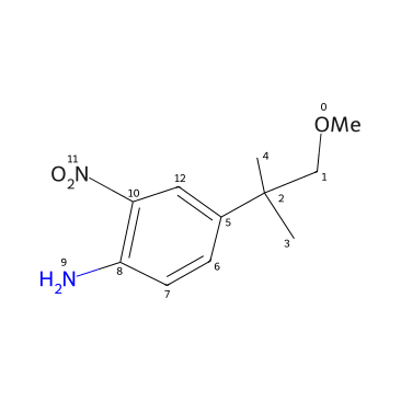 COCC(C)(C)c1ccc(N)c([N+](=O)[O-])c1